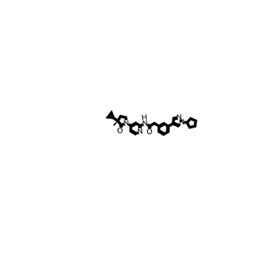 C[C@@]1(C2CC2)CCN(c2ccnc(NC(=O)Cc3cccc(-c4cnn(C5CCCC5)c4)c3)c2)C1=O